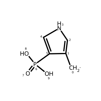 [CH2]c1c[nH]cc1P(=O)(O)O